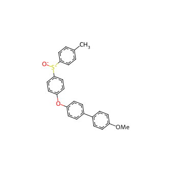 COc1ccc(-c2ccc(Oc3ccc([S+]([O-])c4ccc(C)cc4)cc3)cc2)cc1